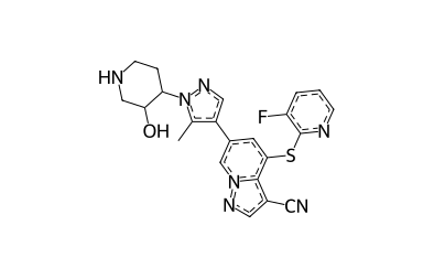 Cc1c(-c2cc(Sc3ncccc3F)c3c(C#N)cnn3c2)cnn1C1CCNCC1O